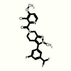 COc1ccnc(C(=O)N2CCc3c(nn(C)c3-c3cc(F)cc(C(F)F)c3)C2)c1Cl